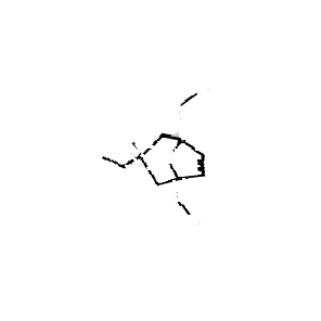 CC[C@]1(O)C[C@@]2(CO)C=C[C@@](CO)(C1)O2